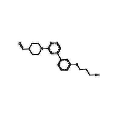 O=CC1CCN(c2cc(-c3cccc(OCCCO)c3)ccn2)CC1